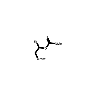 CCCCCCC(CC)OC(=O)NC